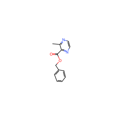 Cc1nccnc1C(=O)OCc1ccccc1